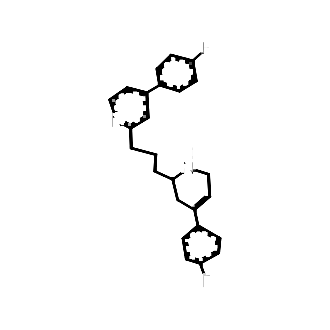 Fc1ccc(C2=CCNC(CCCc3cc(-c4ccc(F)cc4)ccn3)C2)cc1